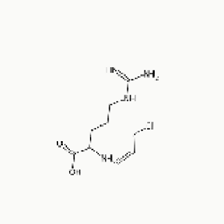 N=C(N)NCCCC(N)C(=O)O.O=CCCl